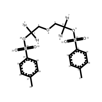 [2H]C([2H])(COCC([2H])([2H])OS(=O)(=O)c1ccc(C)cc1)OS(=O)(=O)c1ccc(C)cc1